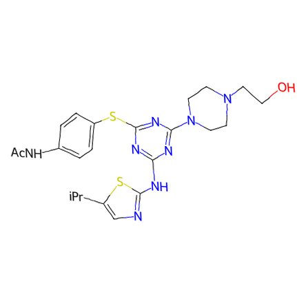 CC(=O)Nc1ccc(Sc2nc(Nc3ncc(C(C)C)s3)nc(N3CCN(CCO)CC3)n2)cc1